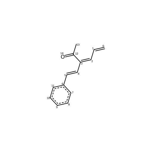 C=CC=C(C=Cc1ccccc1)C(C)=O